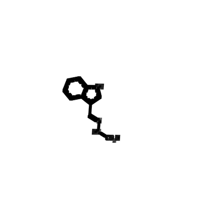 O=C(O)NN=Cc1c[nH]c2ccccc12